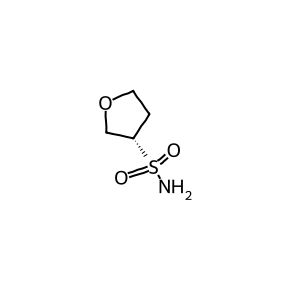 NS(=O)(=O)[C@H]1CCOC1